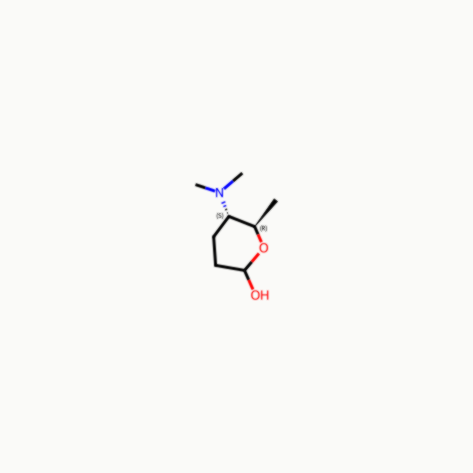 C[C@H]1OC(O)CC[C@@H]1N(C)C